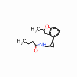 CCCC(=O)NCC1CC1c1cccc2c1CC(C)O2